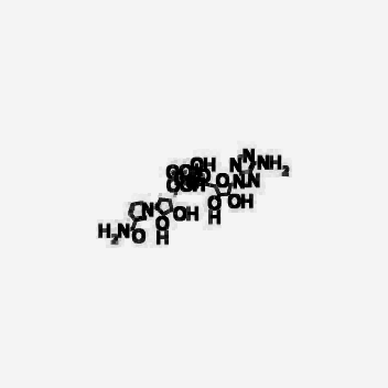 NC(=O)c1ccc[n+](C2C[C@H](COP(=O)(O)OP(=O)(O)OCC3OC(n4cnc5c(N)ncnc54)C(O)C3O)C(O)C2O)c1